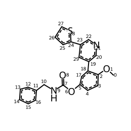 COc1ccc(OC(=O)NCc2ccccc2)cc1-c1cncc(-c2cccs2)c1